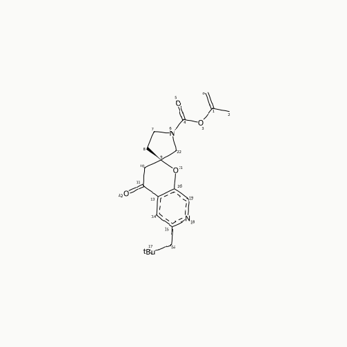 C=C(C)OC(=O)N1CC[C@@]2(CC(=O)c3cc(CC(C)(C)C)ncc3O2)C1